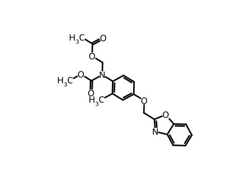 COC(=O)N(COC(C)=O)c1ccc(OCc2nc3ccccc3o2)cc1C